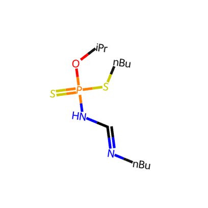 CCCCN=CNP(=S)(OC(C)C)SCCCC